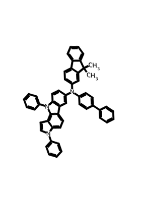 CC1(C)c2ccccc2-c2ccc(N(c3ccc(-c4ccccc4)cc3)c3ccc4c(c3)c3ccc5c(ccn5-c5ccccc5)c3n4-c3ccccc3)cc21